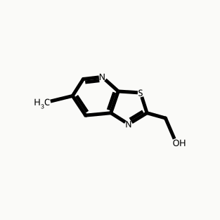 Cc1cnc2sc(CO)nc2c1